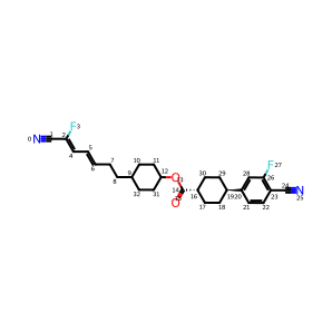 N#CC(F)=C/C=C/CCC1CCC(OC(=O)[C@H]2CC[C@H](c3ccc(C#N)c(F)c3)CC2)CC1